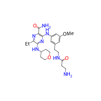 CCc1nc(C(N)=O)c(Nc2cc(CCNC(=O)CCN)cc(OC)c2)nc1NC1CCOCC1